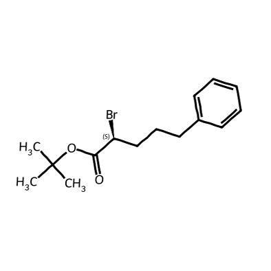 CC(C)(C)OC(=O)[C@@H](Br)CCCc1ccccc1